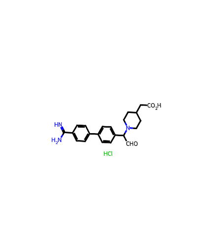 Cl.N=C(N)c1ccc(-c2ccc(C(C=O)N3CCC(CC(=O)O)CC3)cc2)cc1